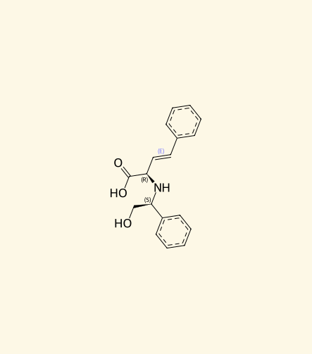 O=C(O)[C@@H](/C=C/c1ccccc1)N[C@H](CO)c1ccccc1